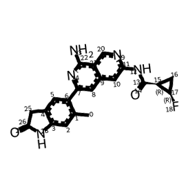 Cc1cc2c(cc1-c1cc3cc(NC(=O)[C@H]4C[C@H]4F)ncc3c(N)n1)CC(=O)N2